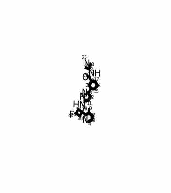 Cc1cccnc1[C@]1(CNc2ccc(-c3cccc(C(=O)NC4CN(C)C4)c3)nn2)C[C@@H](F)C1